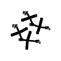 O=S(=O)(NS(=O)(=O)C(F)(F)F)C(F)(F)F.O=S(=O)(NS(=O)(=O)C(F)(F)F)C(F)(F)F